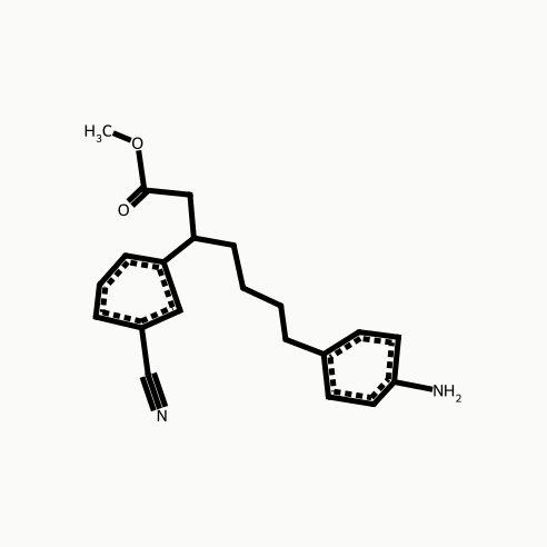 COC(=O)CC(CCCCc1ccc(N)cc1)c1cccc(C#N)c1